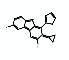 Fc1ccc2c(c1)=c1cc(F)c(=C3CC3)c(C3=CC=CC3)c1[C]=2